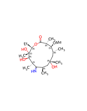 CC[C@H]1OC(=O)[C@H](C)[C@@H](OC)[C@H](C)C[C@](C)(O)C[C@@H](C)C(=N)[C@H](C)[C@@H](O)[C@]1(C)O